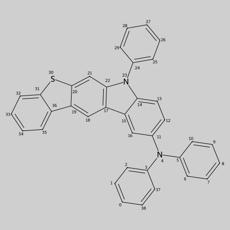 c1ccc(N(c2ccccc2)c2ccc3c(c2)c2cc4c(cc2n3-c2ccccc2)sc2ccccc24)cc1